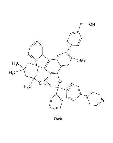 COc1ccc(C2(c3ccc(N4CCOCC4)cc3)C=Cc3c4c(c5cc(-c6ccc(CO)cc6)c(OC)cc5c3O2)-c2ccccc2C42CC(C)(C)CC(C)(C)C2)cc1